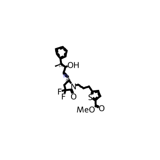 COC(=O)c1ccc(CCCN2C(=O)C(F)(F)C[C@@H]2/C=C/C(O)[C@@H](C)c2ccccc2)s1